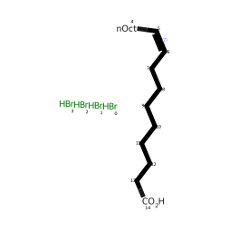 Br.Br.Br.Br.CCCCCCCC/C=C\CCCCCCCC(=O)O